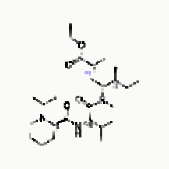 CCOC(=O)/C(C)=C/C([C@@H](C)CC)N(C)C(=O)[C@@H](NC(=O)[C@H]1CCCCN1C(C)CC)C(C)C